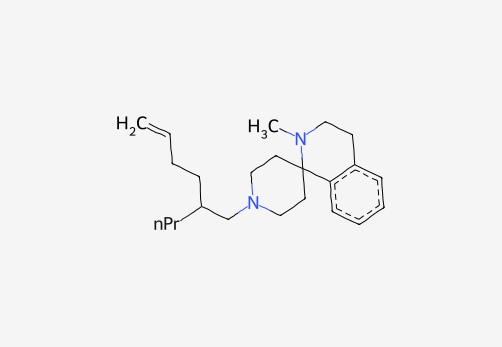 C=CCCC(CCC)CN1CCC2(CC1)c1ccccc1CCN2C